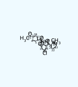 CC(=O)c1ccc(S(=O)(=O)Nc2ccc(Cl)cc2C(=O)c2cccnc2C)cc1